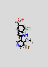 Cc1c(Br)cncc1-c1cc2cc(CO)cc(Cl)c2[nH]1